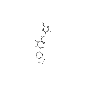 Cc1oc(=O)oc1COC(=O)N(C)C(C)C(=O)c1ccc2c(c1)OCO2